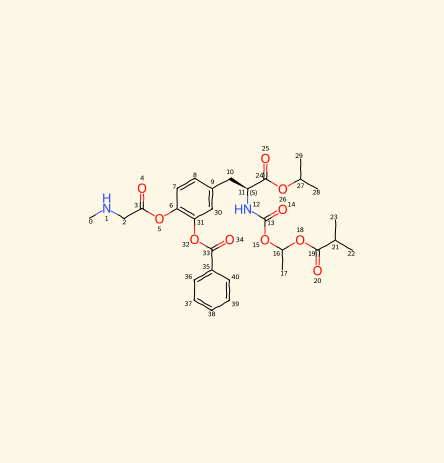 CNCC(=O)Oc1ccc(C[C@H](NC(=O)OC(C)OC(=O)C(C)C)C(=O)OC(C)C)cc1OC(=O)c1ccccc1